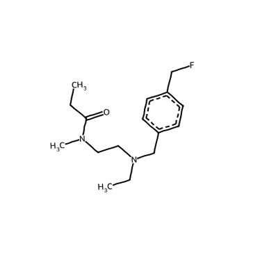 CCC(=O)N(C)CCN(CC)Cc1ccc(CF)cc1